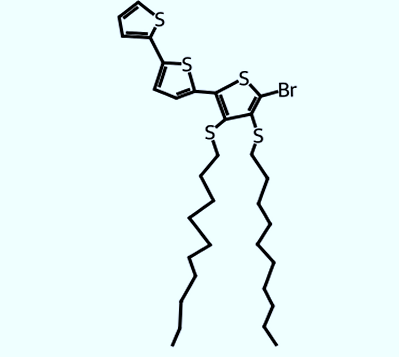 CCCCCCCCCCSc1c(Br)sc(-c2ccc(-c3cccs3)s2)c1SCCCCCCCCCC